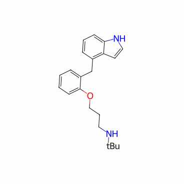 CC(C)(C)NCCCOc1ccccc1Cc1cccc2[nH]ccc12